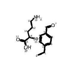 CCc1ccc(C=O)cc1.NCCCC(N)C(=O)O